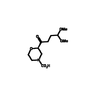 COC(CCC(=O)[C@H]1CN(C(=O)O)CCO1)OC